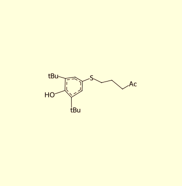 CC(=O)CCCSc1cc(C(C)(C)C)c(O)c(C(C)(C)C)c1